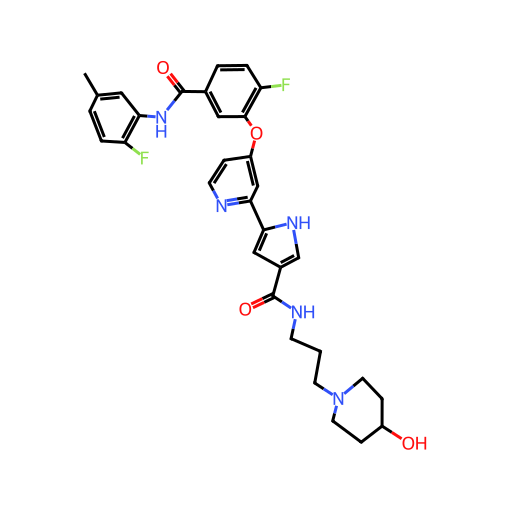 Cc1ccc(F)c(NC(=O)c2ccc(F)c(Oc3ccnc(-c4cc(C(=O)NCCCN5CCC(O)CC5)c[nH]4)c3)c2)c1